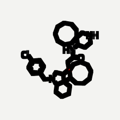 O=C(CCC1CN(Cc2ccc(Cl)cc2)C2CCCCC12C1CCCCCCCC1)NC1CCNCC12CCCCCCCC2